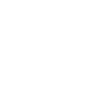 O=C(O)c1ccncc1Nc1c(-c2ccccc2)cnn1C1CCCNC1